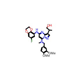 COc1ccc(CN(C)c2cc(Nc3cc(F)cc4c3OCCO4)nc3c(C(C)CO)cnn23)cc1OC